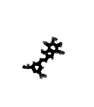 CCCn1c(=O)c2c(nc(C=Cc3cc(OC(C)=O)cc(OC(C)=O)c3)n2C)n(CCC)c1=O